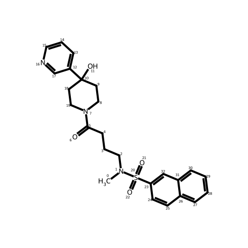 CN(CCCC(=O)N1CCC(O)(c2cccnc2)CC1)S(=O)(=O)c1ccc2ccccc2c1